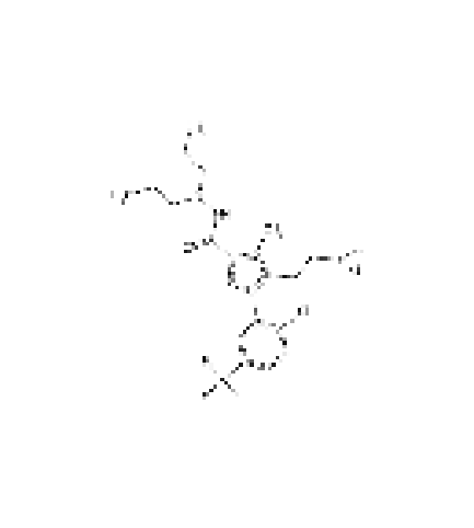 CCCN(CCC)NC(=O)c1cc(-c2cc(C(F)(F)F)ccc2Cl)n(CCC2CC2)c1C